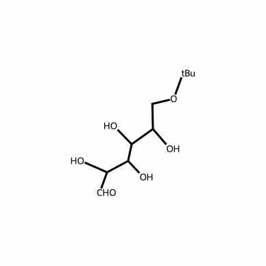 CC(C)(C)OCC(O)C(O)C(O)C(O)C=O